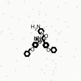 NC1CCN(C(=O)[C@@H](NS(=O)(=O)c2ccc(OCC3CCCCC3)cc2)C(F)(F)c2ccc(OC3CCCCC3)cc2)CC1